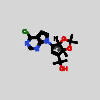 CC1(C)O[C@H]2[C@H](n3ccc4c(Cl)ncnc43)C=C(C(C)(C)O)[C@@]2(C)O1